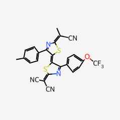 C/C(C#N)=c1\nc(-c2ccc(C)cc2)/c(=c2\sc(=C(C#N)C#N)nc2-c2ccc(OC(F)(F)F)cc2)s1